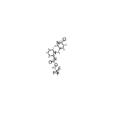 O=C(N=c1ccccn1Cc1ccc(Cl)nc1)OCC(F)(F)F